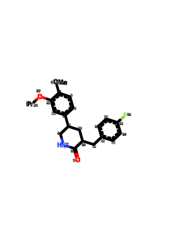 COc1ccc(C2CNC(=O)C(Cc3ccc(F)cc3)C2)cc1OC(C)C